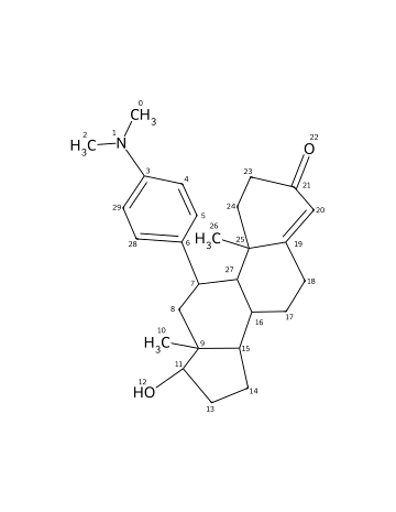 CN(C)c1ccc(C2CC3(C)C(O)CCC3C3CCC4=CC(=O)CCC4(C)C23)cc1